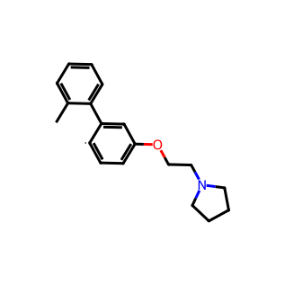 Cc1ccccc1-c1[c]ccc(OCCN2CCCC2)c1